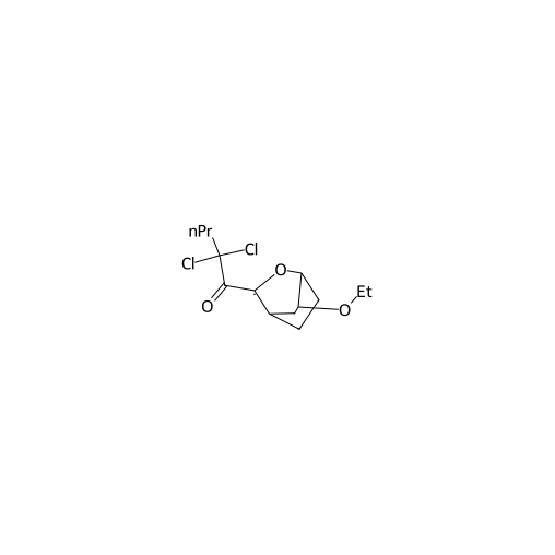 [CH2]CCC(Cl)(Cl)C(=O)[C]1OC2CCC1CC2OCC